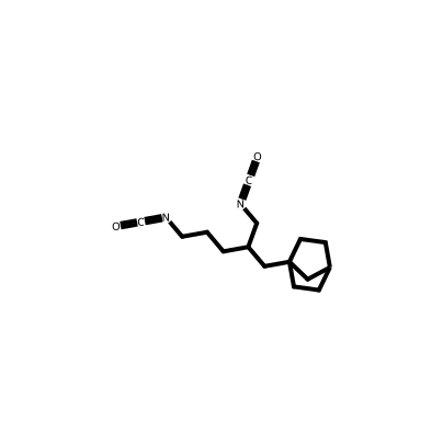 O=C=NCCCC(CN=C=O)CC12CCC(CC1)C2